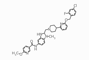 COc1ccc(C(=O)Nc2ccc3c(c2)NC(CN2CCC(c4cccc(OCc5ccc(Cl)cc5F)n4)CC2)N3C)cn1